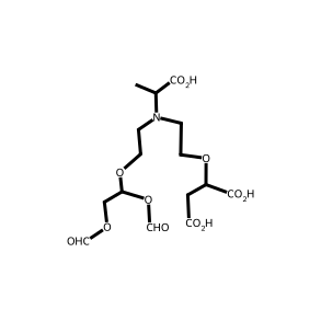 CC(C(=O)O)N(CCOC(COC=O)OC=O)CCOC(CC(=O)O)C(=O)O